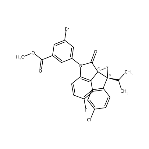 COC(=O)c1cc(Br)cc(N2C(=O)[C@]3(C[C@@]3(c3ccc(Cl)cc3)C(C)C)c3cc(F)ccc32)c1